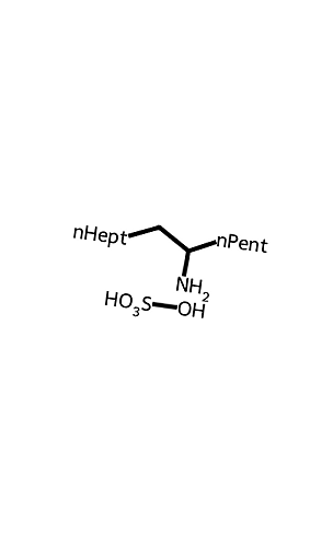 CCCCCCCCC(N)CCCCC.O=S(=O)(O)O